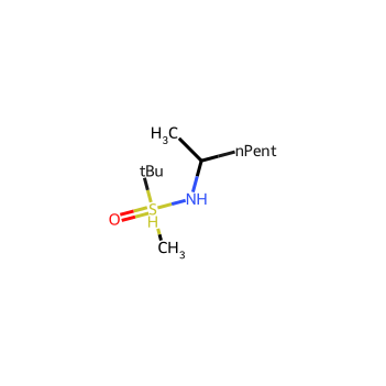 CCCCCC(C)N[SH](C)(=O)C(C)(C)C